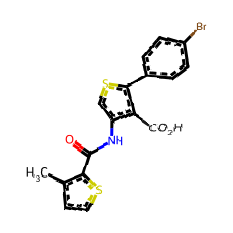 Cc1ccsc1C(=O)Nc1csc(-c2ccc(Br)cc2)c1C(=O)O